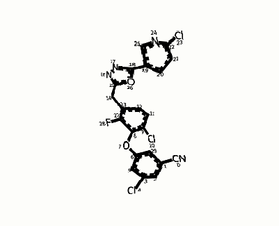 N#Cc1cc(Cl)cc(Oc2c(Cl)ccc(Cc3nnc(-c4ccc(Cl)nc4)o3)c2F)c1